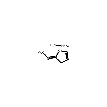 CC(=O)NN.CON=C1CC=CO1